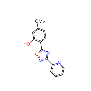 COc1ccc(-c2nc(-c3ccccn3)no2)c(O)c1